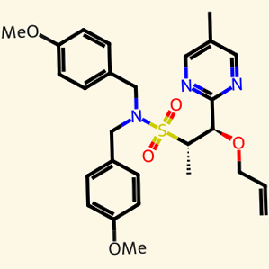 C=CCO[C@H](c1ncc(C)cn1)[C@H](C)S(=O)(=O)N(Cc1ccc(OC)cc1)Cc1ccc(OC)cc1